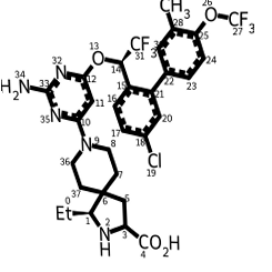 CC[C@@H]1NC(C(=O)O)CC12CCN(c1cc(O[C@H](c3ccc(Cl)cc3-c3ccc(OC(F)(F)F)c(C)c3)C(F)(F)F)nc(N)n1)CC2